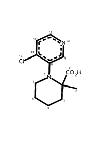 CC1(C(=O)O)CCCCN1c1[c]nccc1Cl